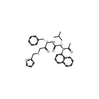 CC(=O)N(c1cccc2ccccc12)[C@@H](CC(C)C)C(=O)N[C@@H](Cc1ccccc1)C(=O)CSCc1ccco1